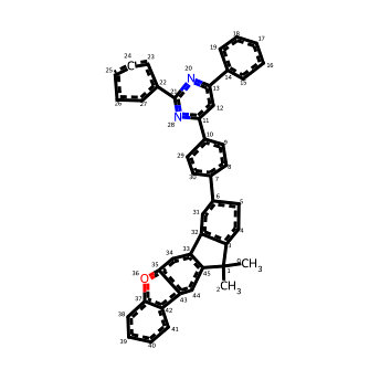 CC1(C)c2ccc(-c3ccc(-c4cc(-c5ccccc5)nc(-c5ccccc5)n4)cc3)cc2-c2cc3oc4ccccc4c3cc21